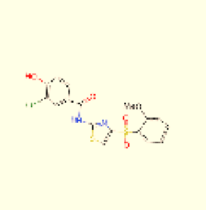 COc1ccccc1S(=O)(=O)c1csc(NC(=O)c2ccc(O)c(Cl)c2)n1